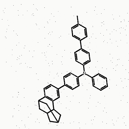 Cc1ccc(-c2ccc(N(c3ccccc3)c3ccc(-c4ccc5c(c4)C4CC6CC5CC4C6)cc3)cc2)cc1